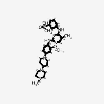 COc1cc(N2CCC(N3CCN(C)CC3)CC2)ccc1Nc1ncc(C)c(Nc2cccc(P(C)(C)=O)c2)n1